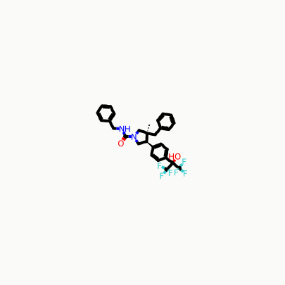 C[C@@]1(Cc2ccccc2)CN(C(=O)NCc2ccccc2)C[C@@H]1c1ccc(C(O)(C(F)(F)F)C(F)(F)F)cc1